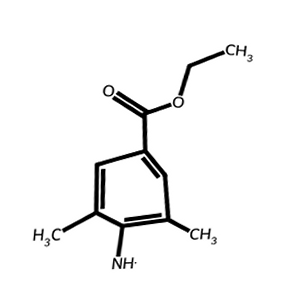 CCOC(=O)c1cc(C)c([NH])c(C)c1